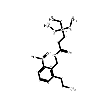 CCCc1cccc([N+](=O)[O-])c1COC(=O)CC[Si](CO)(OC)OC